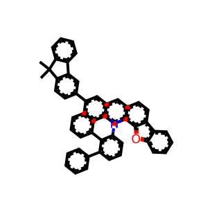 CC1(C)c2ccccc2-c2cc(-c3ccc(N(c4cccc(-c5ccccc5)c4-c4ccccc4-c4ccccc4)c4cccc5c4oc4ccccc45)cc3)ccc21